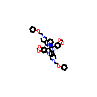 c1ccc(OCCN2CCC(CNC(c3ccc4c(c3)OCO4)(c3ccccn3)[C@](NCC3CCN(CCOc4ccccc4)CC3)(c3ccc4c(c3)OCO4)c3ccccn3)CC2)cc1